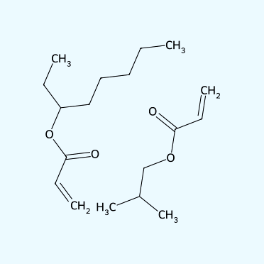 C=CC(=O)OC(CC)CCCCC.C=CC(=O)OCC(C)C